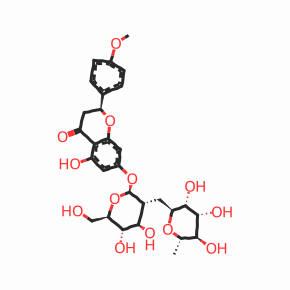 COc1ccc([C@@H]2CC(=O)c3c(O)cc(O[C@@H]4O[C@H](CO)[C@@H](O)[C@H](O)[C@H]4C[C@@H]4O[C@@H](C)[C@H](O)[C@@H](O)[C@H]4O)cc3O2)cc1